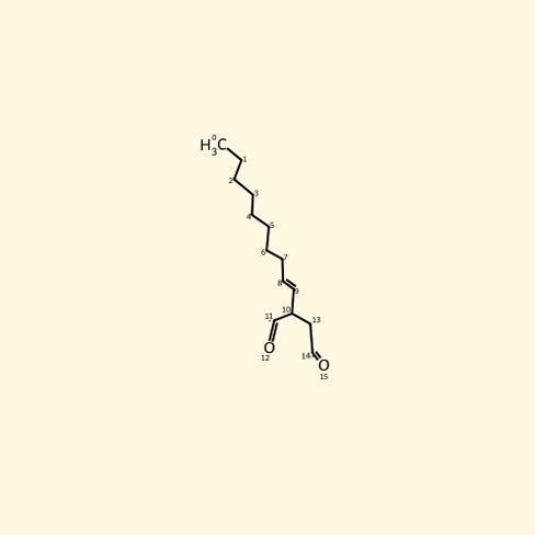 CCCCCCCCC=CC([C]=O)C[C]=O